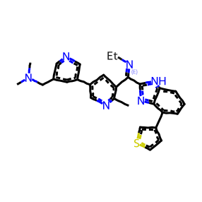 CC/N=C(/c1nc2c(-c3ccsc3)cccc2[nH]1)c1cc(-c2cncc(CN(C)C)c2)cnc1C